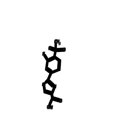 CS(=O)(=O)c1ccc(-c2nc(C(=O)O)co2)cc1F